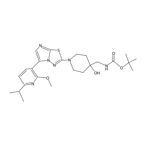 COc1nc(C(C)C)ccc1-c1cnc2sc(N3CCC(O)(CNC(=O)OC(C)(C)C)CC3)nn12